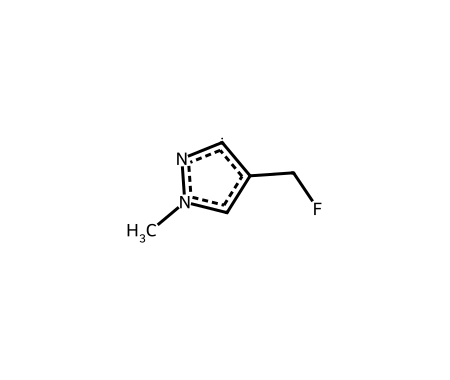 Cn1cc(CF)[c]n1